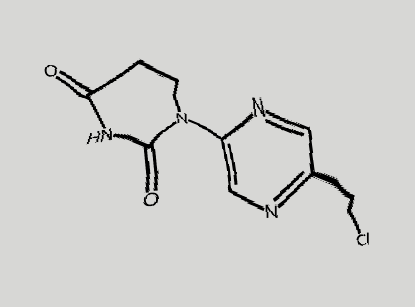 O=C1CCN(c2cnc(CCl)cn2)C(=O)N1